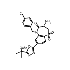 COC(C)(C)c1nnc(-c2ccc3c(c2)N(Cc2ccc(Cl)cc2)C(=O)[C@@H](N)CS3(=O)=O)o1